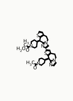 CC(=O)N1CCC(=C2c3sccc3CCn3ccnc32)CC1.CC(=O)N1CCC(=C2c3sccc3CCn3ccnc32)CC1.O